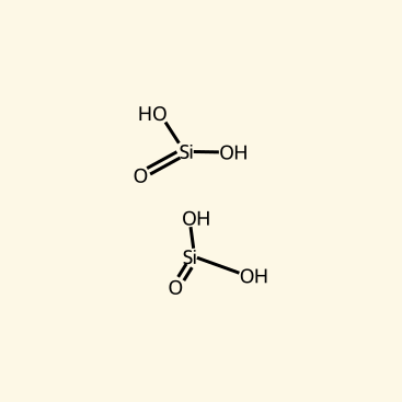 O=[Si](O)O.O=[Si](O)O